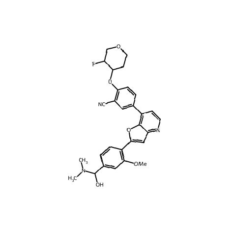 COc1cc(C(O)N(C)C)ccc1-c1cc2nccc(-c3ccc(OC4CCOCC4F)c(C#N)c3)c2o1